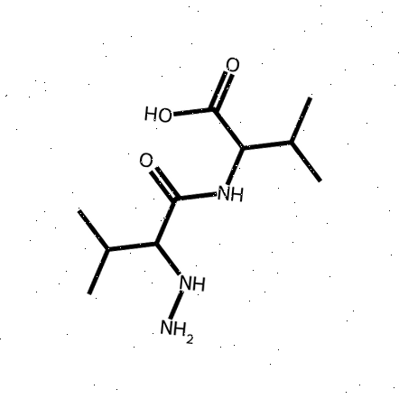 CC(C)C(NC(=O)C(NN)C(C)C)C(=O)O